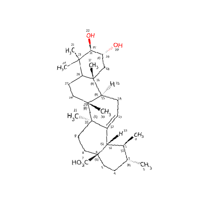 C[C@H]1[C@H](C)CC[C@]2(C(=O)O)CC[C@]3(C)C(=CC[C@@H]4[C@@]5(C)C[C@@H](O)[C@H](O)C(C)(C)C5CC[C@]43C)[C@H]12